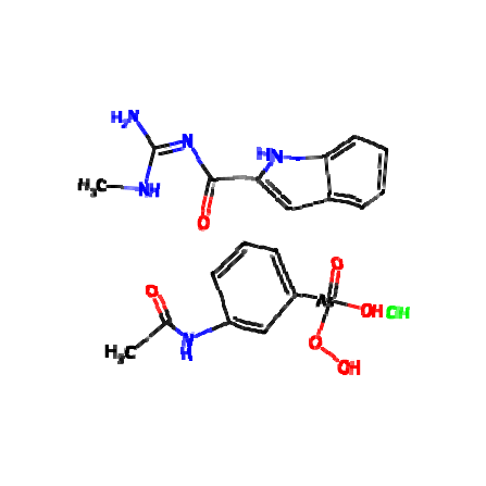 CC(=O)Nc1cccc([As](=O)(O)OO)c1.CNC(N)=NC(=O)c1cc2ccccc2[nH]1.Cl